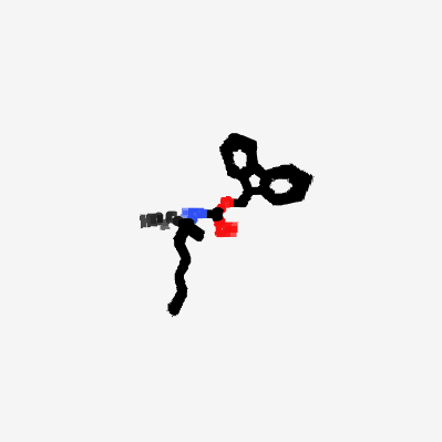 C=CCCCC(C)(NC(O)OCC1c2ccccc2-c2ccccc21)C(=O)O